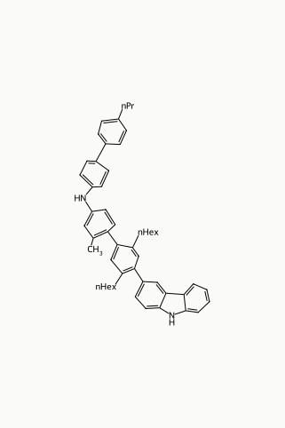 CCCCCCc1cc(-c2ccc(Nc3ccc(-c4ccc(CCC)cc4)cc3)cc2C)c(CCCCCC)cc1-c1ccc2[nH]c3ccccc3c2c1